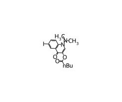 CCCCC(=O)Oc1cn(N(C)C)c2ccc(I)cc2c1=O